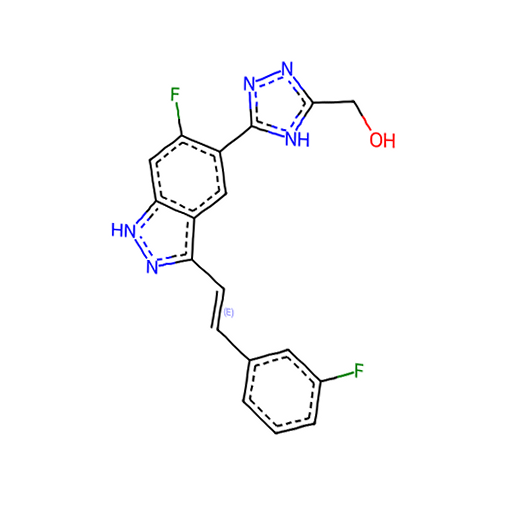 OCc1nnc(-c2cc3c(/C=C/c4cccc(F)c4)n[nH]c3cc2F)[nH]1